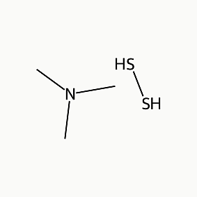 CN(C)C.SS